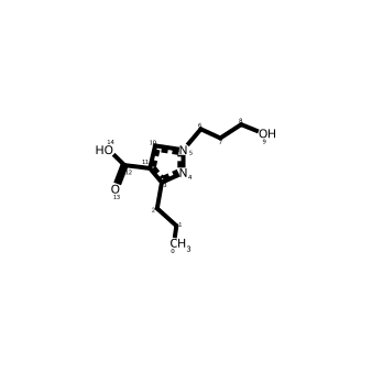 CCCc1nn(CCCO)cc1C(=O)O